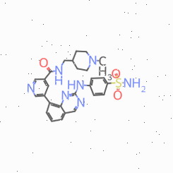 CN1CCC(CNC(=O)c2cncc(-c3cccc4cnc(Nc5ccc(S(N)(=O)=O)cc5)nc34)c2)CC1